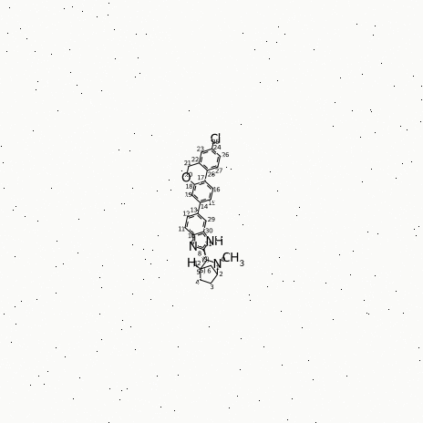 CN1C2CC[C@@H](C2)[C@H]1c1nc2ccc(-c3ccc4c(c3)OCc3cc(Cl)ccc3-4)cc2[nH]1